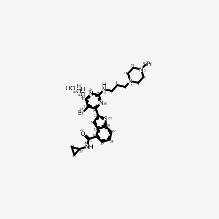 CC(C)N1CCN(CCCNc2ncc(Br)c(-c3cc4c(C(=O)NC5CC5)cccc4s3)n2)CC1.Cl.Cl.Cl